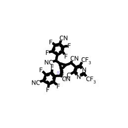 N#C/C(=C1\C(C(C#N)c2c(C(F)(F)F)nc(C(F)(F)F)nc2C(F)(F)F)C1C(C#N)c1c(F)c(F)c(C#N)c(F)c1F)c1c(F)c(F)c(C#N)c(F)c1F